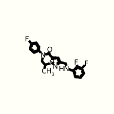 CC1CN(c2ccc(F)cc2)C(=O)c2cc(CNc3cccc(F)c3F)nn21